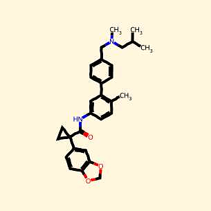 Cc1ccc(NC(=O)C2(c3ccc4c(c3)OCO4)CC2)cc1-c1ccc(CN(C)CC(C)C)cc1